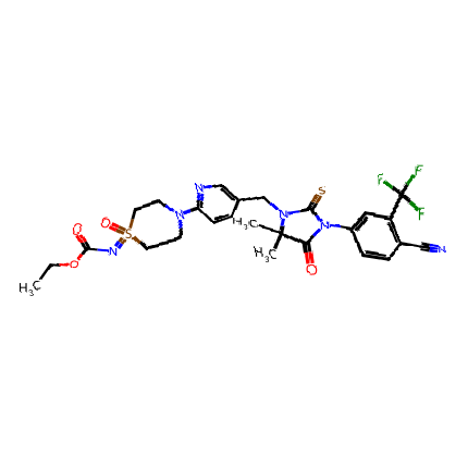 CCOC(=O)N=S1(=O)CCN(c2ccc(CN3C(=S)N(c4ccc(C#N)c(C(F)(F)F)c4)C(=O)C3(C)C)cn2)CC1